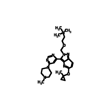 CN1CCN(c2cc(-c3c4nc(OC5(C)CC5)ccc4nn3COCC[Si](C)(C)C)ncn2)CC1